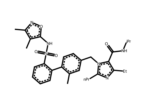 CCCc1nc(CC)c(C(=O)NC(C)C)n1Cc1ccc(-c2ccccc2S(=O)(=O)Nc2onc(C)c2C)c(C)c1